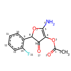 CC(=O)OC1=C(N)OC(c2ccccc2F)C1=O